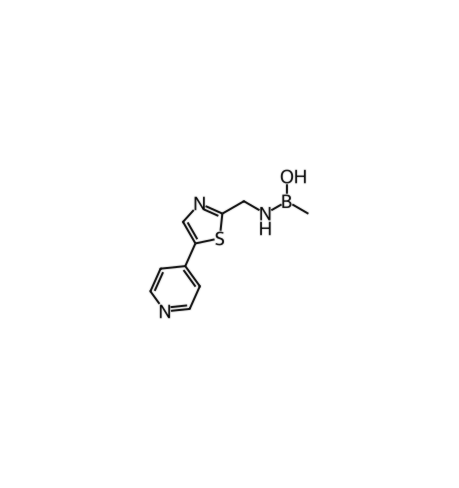 CB(O)NCc1ncc(-c2ccncc2)s1